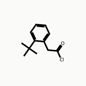 CC(C)(C)c1ccccc1CC(=O)Cl